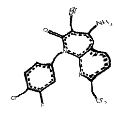 Nc1c(Br)c(=O)n(-c2ccc(Cl)c(F)c2)c2nc(C(F)(F)F)ccc12